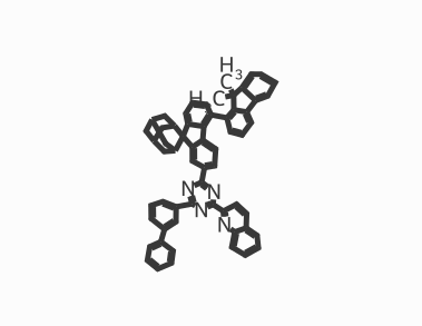 CC1(C)c2ccccc2-c2cccc(-c3cccc4c3-c3ccc(-c5nc(-c6cccc(-c7ccccc7)c6)nc(-c6ccc7ccccc7n6)n5)cc3C43C4CC5CC(C4)CC3C5)c21